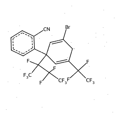 N#Cc1ccccc1C1(C(F)(C(F)(F)F)C(F)(F)C(F)(F)F)C=C(Br)[CH]C(C(F)(F)C(F)(F)F)=C1